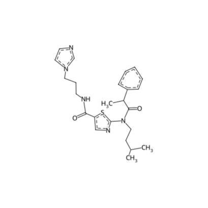 CC(C)CCN(C(=O)C(C)c1ccccc1)c1ncc(C(=O)NCCCn2ccnc2)s1